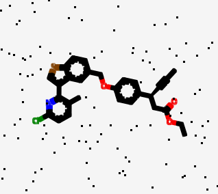 CC#C[C@@H](CC(=O)OCC)c1ccc(OCc2ccc3scc(-c4nc(Cl)ccc4C)c3c2)cc1